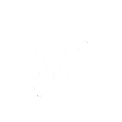 COC=CC(=O)Oc1cccc(Oc2cccc(C#N)c2)c1Oc1ccccc1